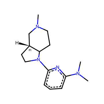 CN1CCC2[C@H](CCN2c2cccc(N(C)C)n2)C1